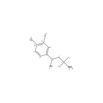 CC(=O)C(CC(C)(C)N)c1ccc(Cl)c(F)c1